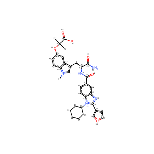 Cn1cc(C[C@H](NC(=O)c2ccc3c(c2)nc(-c2ccoc2)n3C2CCCCC2)C(N)=O)c2cc(OC(C)(C)C(=O)O)ccc21